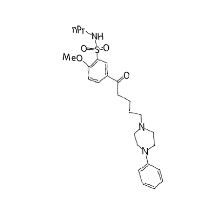 CCCNS(=O)(=O)c1cc(C(=O)CCCCN2CCN(c3ccccc3)CC2)ccc1OC